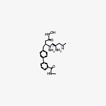 CNC/C(N)=C/N(N)C(CC(=O)NO)Cc1ccc(-c2cccc(C(=O)NC)c2)cc1